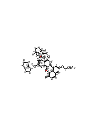 COCOc1cc(-c2nc3c4c(nc(OC[C@]56CCCN5C[C@H](F)C6)nc4c2F)N2C[C@@H]4CC[C@H]([C@H]2CO3)N4C(=O)OC(C)(C)C)c2c(F)c(F)ccc2c1